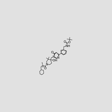 C[C@H](CC1CCCCC1)C(=O)N1CCC(O)(Cn2cnc(-c3cccc(CNC(=O)OC(C)(C)C)c3)cc2=O)C(C)(C)C1